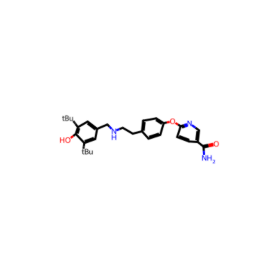 CC(C)(C)c1cc(CNCCc2ccc(Oc3ccc(C(N)=O)cn3)cc2)cc(C(C)(C)C)c1O